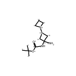 CC(C)(C)OC(=O)NC1(N)CN(N2CCC2)C1